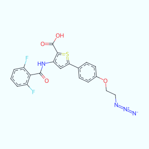 [N-]=[N+]=NCCOc1ccc(-c2cc(NC(=O)c3c(F)cccc3F)c(C(=O)O)s2)cc1